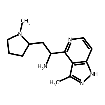 Cc1n[nH]c2ccnc(C(N)CC3CCCN3C)c12